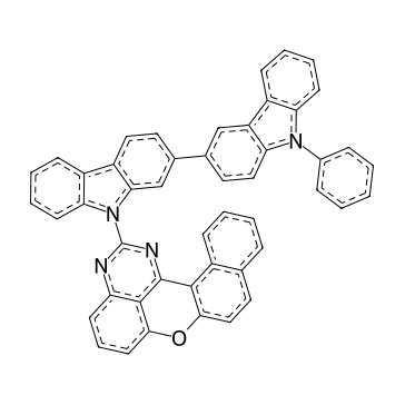 c1ccc(-n2c3ccccc3c3cc(-c4ccc5c6ccccc6n(-c6nc7c8c(cccc8n6)Oc6ccc8ccccc8c6-7)c5c4)ccc32)cc1